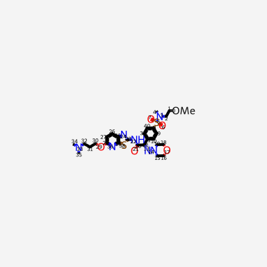 COCCN(C)S(=O)(=O)c1ccc(/C(=N\N2CCOCC2)C(=O)Nc2nc3ccc(OCCCN(C)C)nc3s2)cc1